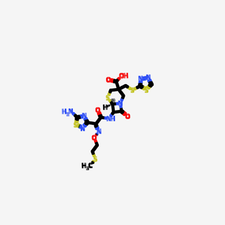 CSCCON=C(C(=O)NC1C(=O)N2CC(CSc3nncs3)(C(=O)O)CS[C@H]12)c1nsc(N)n1